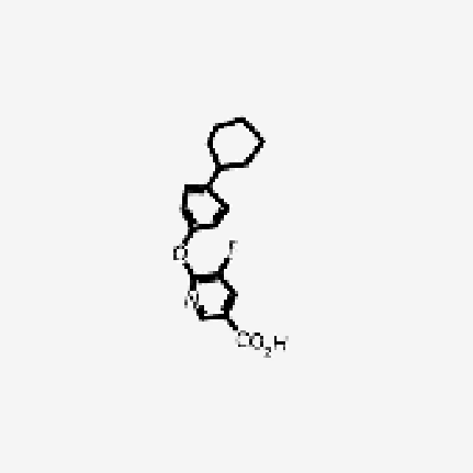 O=C(O)c1cnc(Oc2ccc(C3CCCCC3)cc2)c(F)c1